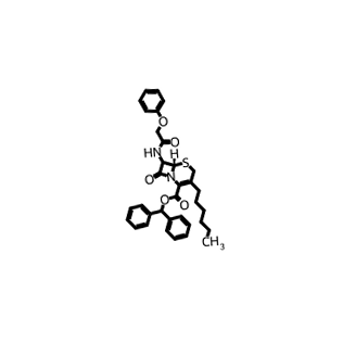 CCCCCCC1=C(C(=O)OC(c2ccccc2)c2ccccc2)N2C(=O)C(NC(=O)COc3ccccc3)[C@@H]2SC1